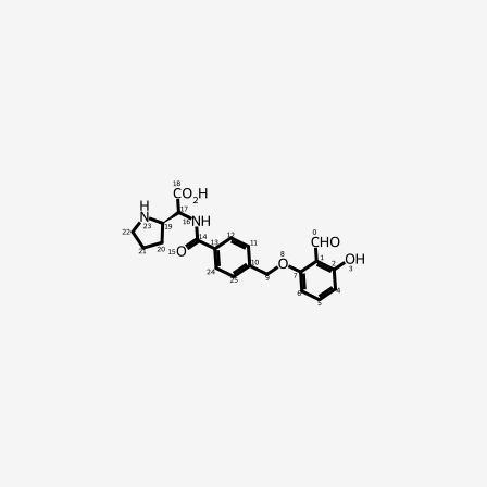 O=Cc1c(O)cccc1OCc1ccc(C(=O)NC(C(=O)O)[C@H]2CCCN2)cc1